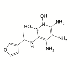 CC(NC1=C(N)C(N)=C(N)N(O)N1O)c1ccoc1